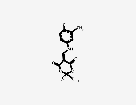 Cc1cc(NC=C2C(=O)OC(C)(C)OC2=O)ccc1Cl